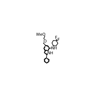 COCCOCc1cc(NC2CCC(F)(F)CC2)c2[nH]c(-c3ccccc3)cc2c1